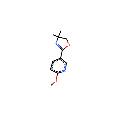 CCOc1ccc(C2=NC(C)(C)CO2)cn1